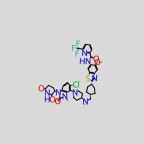 COc1cc2nc([C@H]3CC[C@H](CN(C)C4CCN(c5c(Cl)ccc6c5n(C)c(=O)n6C5CCC(=O)NC5=O)CC4)CC3)sc2cc1NC(=O)c1cccc(C(F)(F)F)n1